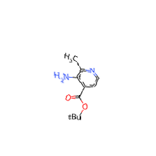 Cc1nccc(C(=O)OC(C)(C)C)c1N